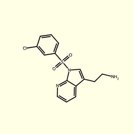 NCCc1cn(S(=O)(=O)c2cccc(Cl)c2)c2ncccc12